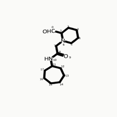 O=CC1CCCCN1CC(=O)NC1CCCCCC1